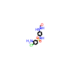 Nc1cc(S(=O)(=O)Nc2ccc(NNC=O)cc2)ccc1Cl